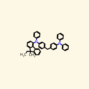 CCC1(C)c2ccccc2-c2c(N(c3ccccc3)c3ccc(Cc4ccc(N(c5ccccc5)c5ccccc5)cc4)cc3)cccc21